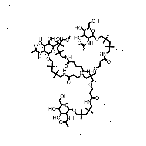 COCC(C)(C)CC(C)(C)CNC(=O)CCCC(=O)NC(COCCC(=O)NCC(C)(C)CC(C)(C)COC1OC(CO)C(O)C(O)C1NC(C)=O)(COCCC(=O)NCC(C)(C)CC(C)(C)COC1OC(CO)C(O)C(O)C1NC(C)=O)COCCC(=O)NCC(C)(C)CC(C)(C)COC1OC(CO)C(O)C(O)C1NC(C)=O